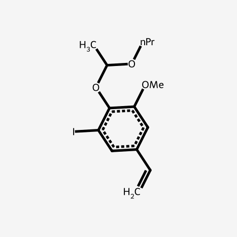 C=Cc1cc(I)c(OC(C)OCCC)c(OC)c1